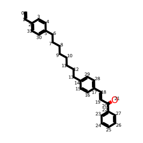 C=Cc1ccc(CCCCCCCCc2ccc(/C=C/C(=O)c3ccccc3)cc2)cc1